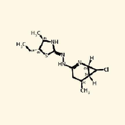 CC[C@H]1SC(=NNC2=N[C@@H]3C(Cl)[C@@H]3[C@@H](C)C2)N[C@@H]1C